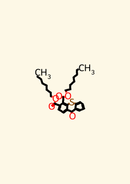 CCCCCCCCOC(=O)c1ccc2c(=O)c3ccccc3sc2c1C(=O)OCCCCCCCC